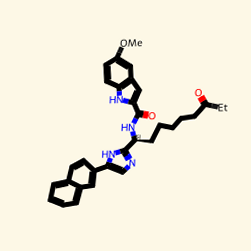 CCC(=O)CCCCC[C@H](NC(=O)c1cc2cc(OC)ccc2[nH]1)c1ncc(-c2ccc3ccccc3c2)[nH]1